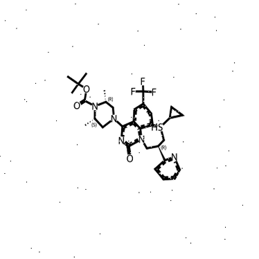 C[C@@H]1CN(c2nc(=O)n3c4c(cc(C(F)(F)F)cc24)[SH](C2CC2)C[C@@H](c2ccccn2)C3)C[C@H](C)N1C(=O)OC(C)(C)C